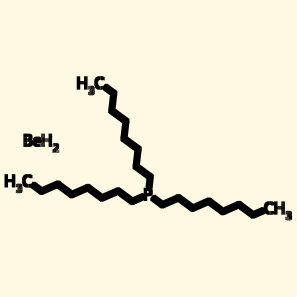 CCCCCCCCP(CCCCCCCC)CCCCCCCC.[BeH2]